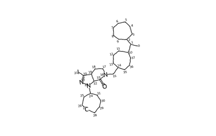 CC(C1CCCCCCC1)C1CCCC(CN2CCC3C(I)=NN(C4CCCCCCC4)C3C2=O)CCC1